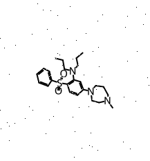 CCCN(CCC)c1cc(N2CCCN(C)CC2)ccc1S(=O)(=O)c1ccccc1